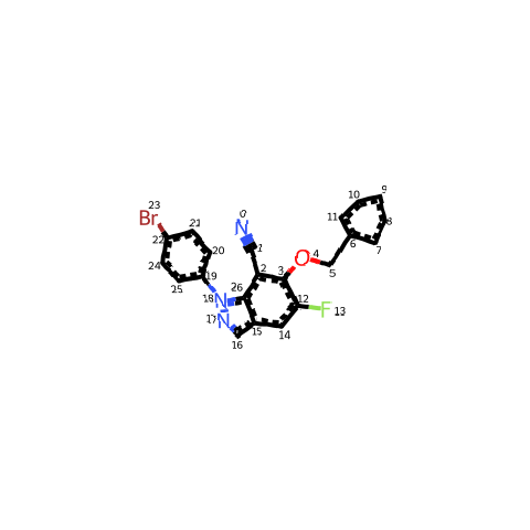 N#Cc1c(OCc2ccccc2)c(F)cc2cnn(-c3ccc(Br)cc3)c12